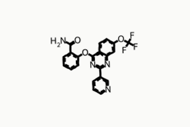 NC(=O)c1ccccc1Oc1nc(-c2cccnc2)nc2cc(OC(F)(F)F)ccc12